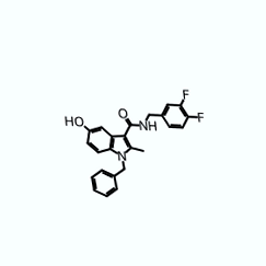 Cc1c(C(=O)NCc2ccc(F)c(F)c2)c2cc(O)ccc2n1Cc1ccccc1